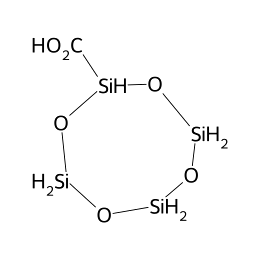 O=C(O)[SiH]1O[SiH2]O[SiH2]O[SiH2]O1